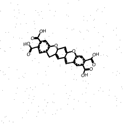 O=C(O)c1cc2c(cc1C(=O)O)OC1=CC3Oc4cc(C(=O)O)c(C(=O)O)cc4CC3=CC1=C2